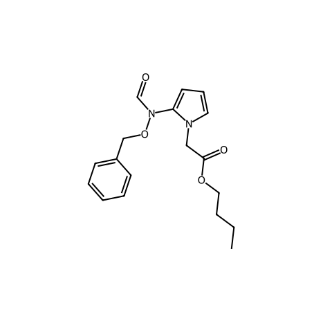 CCCCOC(=O)Cn1cccc1N(C=O)OCc1ccccc1